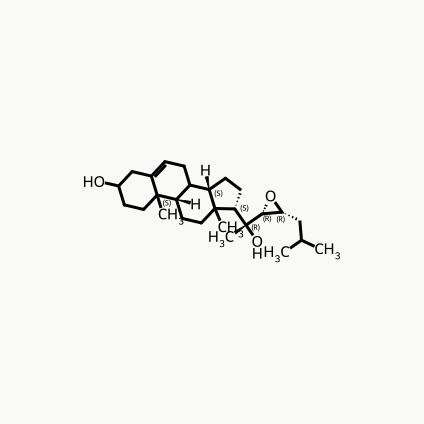 CC(C)C[C@H]1O[C@H]1[C@](C)(O)[C@H]1CC[C@H]2C3CC=C4CC(O)CCC4(C)[C@H]3CCC21C